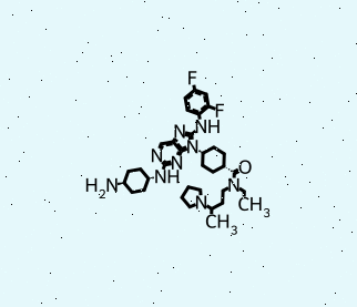 CCN(CCC(C)N1CCCC1)C(=O)[C@H]1CC[C@@H](n2c(Nc3ccc(F)cc3F)nc3cnc(N[C@H]4CC[C@H](N)CC4)nc32)CC1